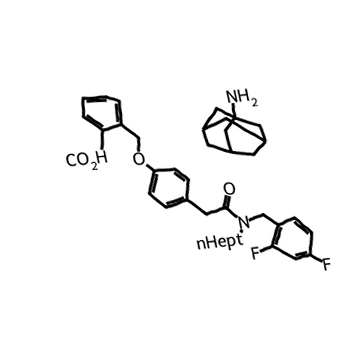 CCCCCCCN(Cc1ccc(F)cc1F)C(=O)Cc1ccc(OCc2ccccc2C(=O)O)cc1.NC12CC3CC(CC(C3)C1)C2